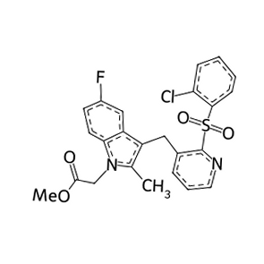 COC(=O)Cn1c(C)c(Cc2cccnc2S(=O)(=O)c2ccccc2Cl)c2cc(F)ccc21